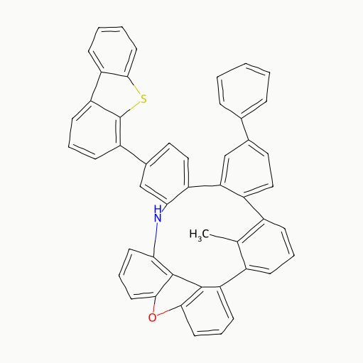 Cc1c2cccc1-c1cccc3oc4cccc(c4c13)Nc1cc(-c3cccc4c3sc3ccccc34)ccc1-c1cc(-c3ccccc3)ccc1-2